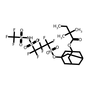 CCC(C)(C)C(=O)OC12CC3CC(C1)CC(OS(=O)(=O)C(F)(F)C(F)(F)C(F)(F)S(=O)(=O)NS(=O)(=O)C(F)(F)F)(C3)C2